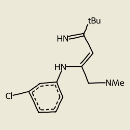 CNC/C(=C/C(=N)C(C)(C)C)Nc1cccc(Cl)c1